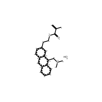 C=C(C)C(=O)OCCc1ccc2cc3ccccc3c(CN(C)C)c2c1.Cl